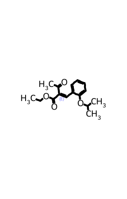 CCOC(=O)/C(=C/c1ccccc1OC(C)C)C(C)=O